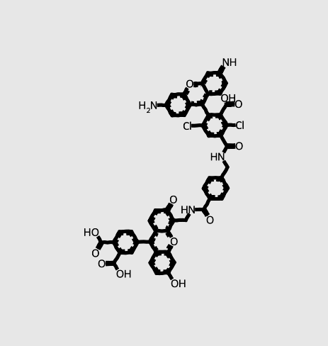 N=c1ccc2c(-c3c(Cl)cc(C(=O)NCc4ccc(C(=O)NCc5c6oc7cc(O)ccc7c(-c7ccc(C(=O)O)c(C(=O)O)c7)c-6ccc5=O)cc4)c(Cl)c3C(=O)O)c3ccc(N)cc3oc-2c1